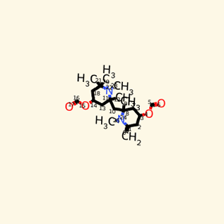 C=C1CC(OC=O)CC(C)(CC2(C)CC(OC=O)CC(C)(C)N2C)N1C